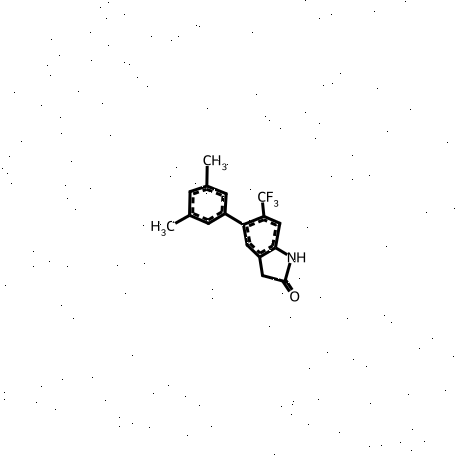 Cc1cc(C)cc(-c2cc3c(cc2C(F)(F)F)NC(=O)C3)c1